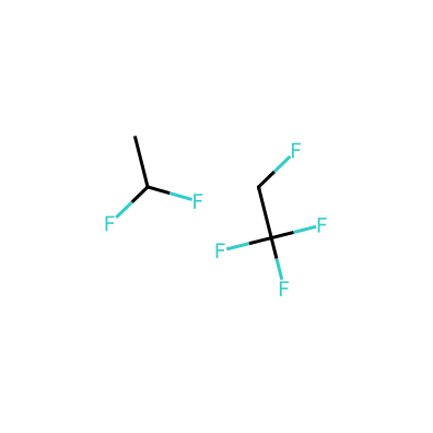 CC(F)F.FCC(F)(F)F